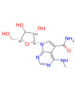 CNc1ncnc2c1c(C(N)=O)cn2[C@@H]1O[C@H](CO)C(O)[C@@H]1O